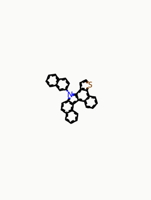 c1ccc2cc(-n3c4ccc5ccccc5c4c4c5ccccc5c5sccc5c43)ccc2c1